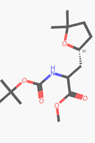 COC(=O)C(C[C@H]1CCC(C)(C)O1)NC(=O)OC(C)(C)C